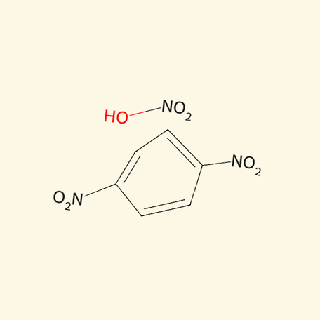 O=[N+]([O-])O.O=[N+]([O-])c1ccc([N+](=O)[O-])cc1